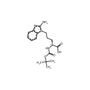 CC(C)(C)OC(=O)N[C@@H](CCCn1c(N)nc2ccccc21)C(=O)O